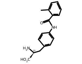 Cc1ccccc1C(=O)Nc1ccc(C[C@H](N)C(=O)O)cc1